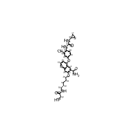 NC(=O)c1cc2c(Oc3ccc(NC(=O)NC4CC4)c(Cl)c3)ccnc2cc1OCCCCCNC(=O)CS